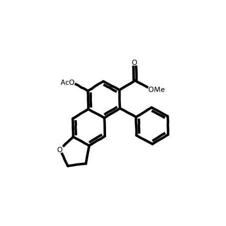 COC(=O)c1cc(OC(C)=O)c2cc3c(cc2c1-c1ccccc1)CCO3